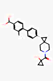 Cc1cc(C(O)O)ccc1-c1ccc([C@H]2CC23CCN(C(=O)C2(O)CC2)CC3)cc1